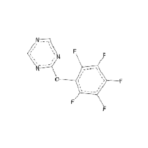 Fc1c(F)c(F)c(Oc2ncncn2)c(F)c1F